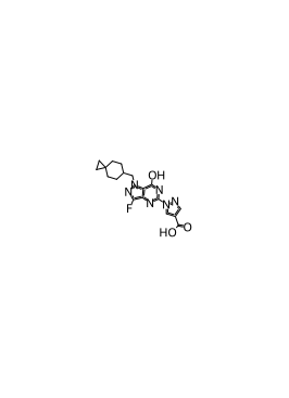 O=C(O)c1cnn(-c2nc(O)c3c(n2)c(F)nn3CC2CCC3(CC2)CC3)c1